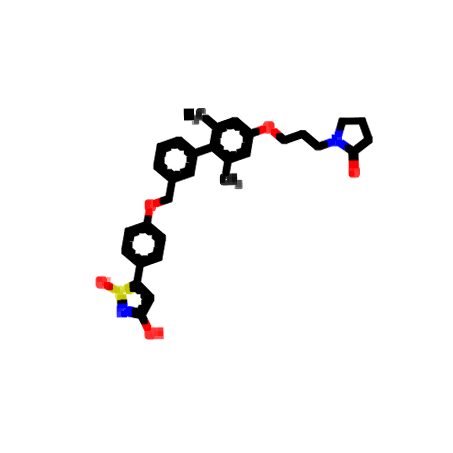 Cc1cc(OCCCN2CCCC2=O)cc(C)c1-c1cccc(COc2ccc(-c3cc(O)n[s+]3[O-])cc2)c1